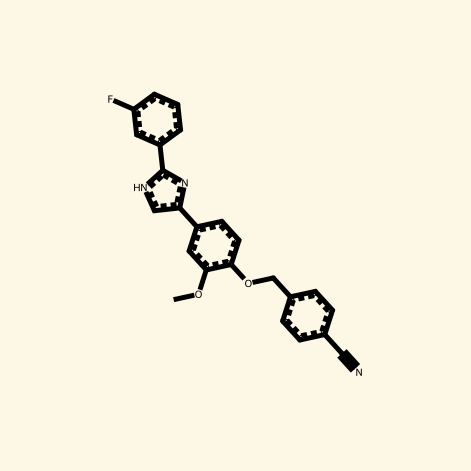 COc1cc(-c2c[nH]c(-c3cccc(F)c3)n2)ccc1OCc1ccc(C#N)cc1